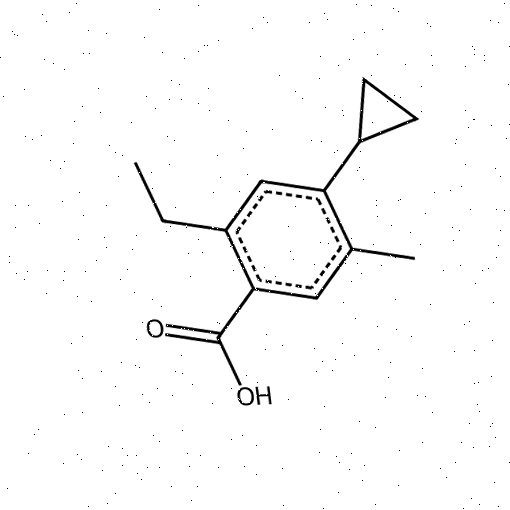 CCc1cc(C2CC2)c(C)cc1C(=O)O